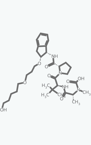 C[C@H](C(=O)N[C@H](C(=O)N1CCC[C@H]1C(=O)N[C@H]1c2ccccc2C[C@H]1OCCCOCCCCCO)C(C)(C)C)N(C)C(=O)O